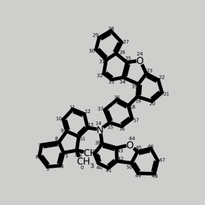 CC1(C)c2ccccc2-c2cccc(N(c3ccc(-c4cccc5oc6c7ccccc7ccc6c45)cc3)c3cccc4c3oc3ccccc34)c21